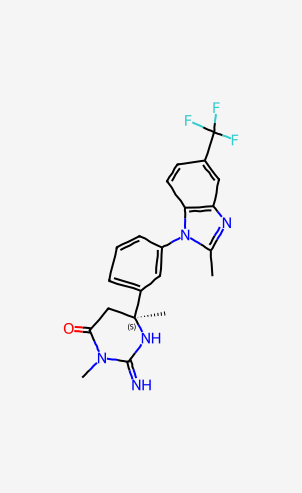 Cc1nc2cc(C(F)(F)F)ccc2n1-c1cccc([C@]2(C)CC(=O)N(C)C(=N)N2)c1